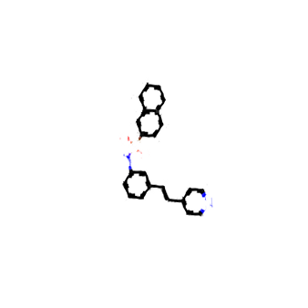 O=S(=O)(Nc1cccc(/C=C/c2ccncc2)c1)c1ccc2ccccc2c1